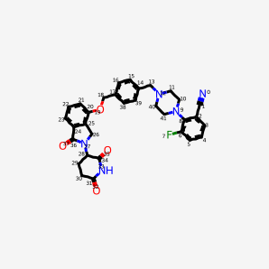 N#Cc1cccc(F)c1N1CCN(Cc2ccc(COc3cccc4c3CN(C3CCC(=O)NC3=O)C4=O)cc2)CC1